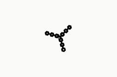 C1=CC(c2ccc(-c3ccc(N(c4ccc(-c5ccc(-c6ccccc6)cc5)cc4)c4ccc(-c5ccc(-c6ccccc6)cc5)cc4)cc3)cc2)=CCC1